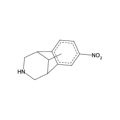 CC1C2CNCC1c1cc([N+](=O)[O-])ccc12